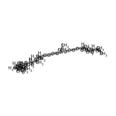 CCCBC(=O)N(CCOCCOCCOCCOCCC(=O)NC(C)(C)COC(C)(C)CCC(=O)NCCC(C)(C)OCCC)CCOCCOCCOCCOCCC(=O)NC(C)(C)COC(C)(C)CCC(=O)NCCC(C)(C)OCC(C)(C)NC(=O)C(C)(C)CC(C)(C)CC(C)(C)/C=C\CC(C)(C)C